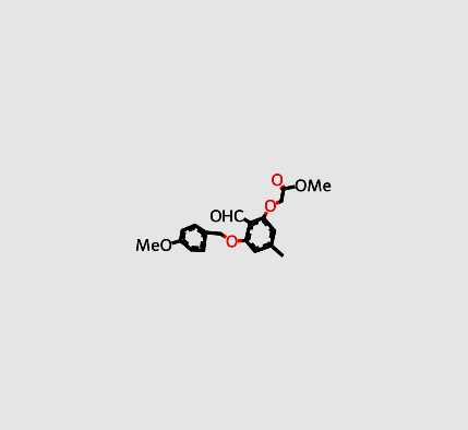 COC(=O)COc1cc(C)cc(OCc2ccc(OC)cc2)c1C=O